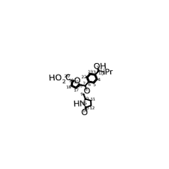 CC(C)[C@H](O)c1ccc(C(OCC2CCC(=O)N2)c2ccc(C(=O)O)o2)cc1